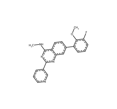 CNc1nc(-c2cccnc2)nc2cc(-c3cccc(F)c3OC)ccc12